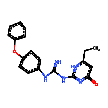 CCc1cc(=O)nc(NC(=N)Nc2ccc(Oc3ccccc3)cc2)[nH]1